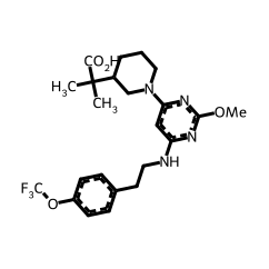 COc1nc(NCCc2ccc(OC(F)(F)F)cc2)cc(N2CCCC(C(C)(C)C(=O)O)C2)n1